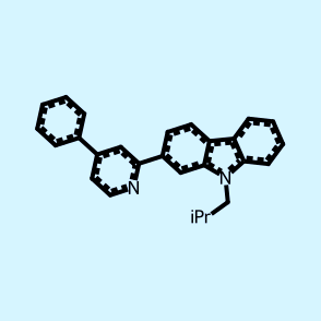 CC(C)Cn1c2ccccc2c2ccc(-c3cc(-c4ccccc4)ccn3)cc21